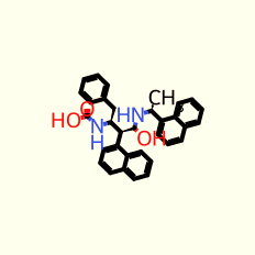 C[C@@H](NC(O)[C@@H](c1cccc2ccccc12)[C@H](Cc1ccccc1)NC(=O)O)c1cccc2ccccc12